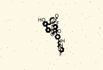 O=CN1CCCN(Cc2cc(O)ccc2-c2cccc(-n3c(=O)n(C4CCC(NCc5cn6cc(F)ccc6n5)CC4)c(=O)c4cc(F)cnc43)c2)CC1